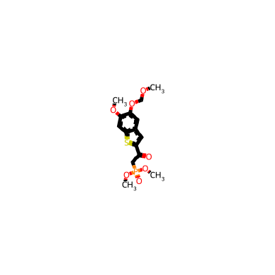 COCOc1cc2cc(C(=O)CP(=O)(OC)OC)sc2cc1OC